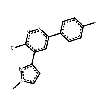 Cn1ccc(-c2cc(-c3ccc(F)cc3)nnc2Cl)n1